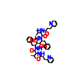 CC(C)[C@H](NC(=O)CCc1ccccn1)C(=O)N[C@@H](Cc1ccccc1)[C@@H](O)[C@H](O)[C@H](Cc1ccccc1)NC(=O)[C@@H](NC(=O)CCc1ccccn1)C(C)C